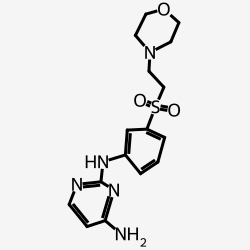 Nc1ccnc(Nc2cccc(S(=O)(=O)CCN3CCOCC3)c2)n1